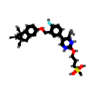 C[C@H]1[C@@H]2Cc3cc(OCc4cc(-c5cnc(OCCCS(C)(=O)=O)nc5C(F)(F)F)ccc4F)ccc3[C@H]12